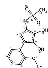 COc1ccccc1-c1oc(NS(C)(=O)=O)c(O)c1O